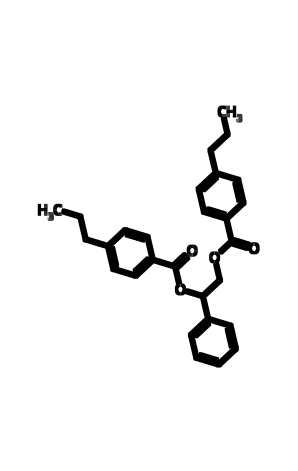 CCCc1ccc(C(=O)OCC(OC(=O)c2ccc(CCC)cc2)c2ccccc2)cc1